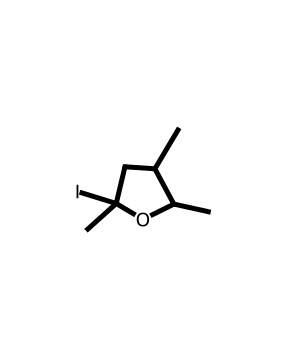 CC1CC(C)(I)OC1C